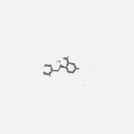 CCc1nnc(Cc2c(Cl)cncc2Cl)c2ccc(OC)cc12